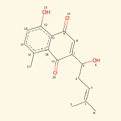 CC(C)=CCC(O)C1=CC(=O)c2c(O)ccc(C)c2C1=O